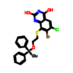 CC(C)(C)[Si](OCCSc1c(Br)c(Cl)cc2c(O)nc(O)nc12)(c1ccccc1)c1ccccc1